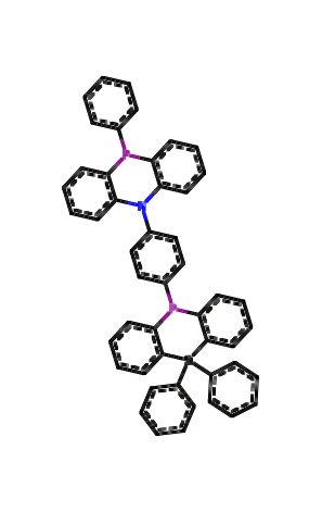 c1ccc(P2c3ccccc3N(c3ccc(P4c5ccccc5[Si](c5ccccc5)(c5ccccc5)c5ccccc54)cc3)c3ccccc32)cc1